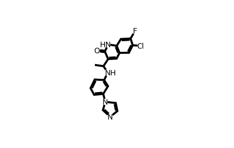 CC(Nc1cccc(-n2ccnc2)c1)c1cc2cc(Cl)c(F)cc2[nH]c1=O